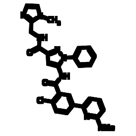 CNc1cccc(-c2ccc(Cl)c(C(=O)Nc3cc(C(=O)NCc4nccn4C)nn3-c3ccccc3)c2)n1